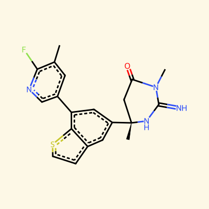 Cc1cc(-c2cc([C@]3(C)CC(=O)N(C)C(=N)N3)cc3ccsc23)cnc1F